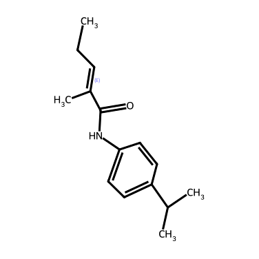 CC/C=C(\C)C(=O)Nc1ccc(C(C)C)cc1